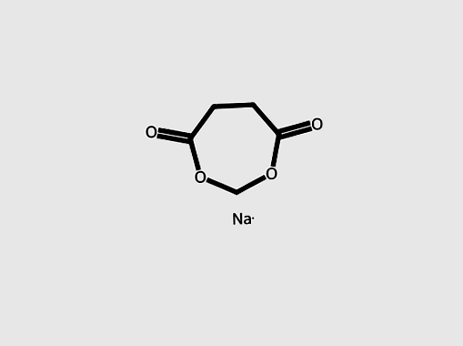 O=C1CCC(=O)OCO1.[Na]